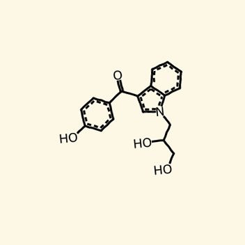 O=C(c1ccc(O)cc1)c1cn(CC(O)CO)c2ccccc12